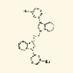 CC(C)(C)c1cccc(-n2c[n+](CO[n+]3cn(-c4cccc(C(C)(C)C)c4)c4ccccc43)c3ccccc32)c1